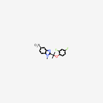 Cn1c(C(C)(C)Oc2ccc(F)cc2F)nc2cc([N+](=O)[O-])ccc21